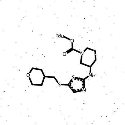 CC(C)(C)OC(=O)N1CCC[C@@H](Nc2ncc(SCC3CCOCC3)s2)C1